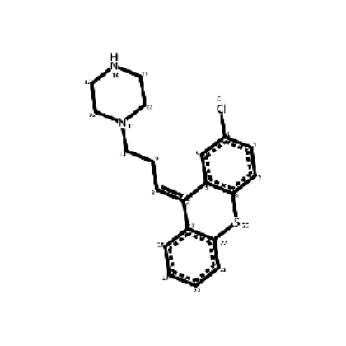 Clc1ccc2c(c1)/C(=C\CCN1CCNCC1)c1ccccc1S2